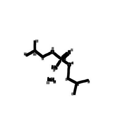 CC(C)COP(=S)(S)OCC(C)C.[InH3]